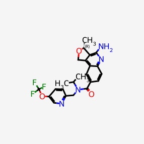 CC(C)N(Cc1ccc(OC(F)(F)F)cn1)C(=O)c1ccc2nc(N)c3c(c2c1)CO[C@@H]3C